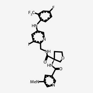 CNc1cncc(C(=O)N[C@@]2(C(=O)NCc3ncc(Nc4ccc(F)cc4C(F)(F)F)cc3I)CCOC2)c1